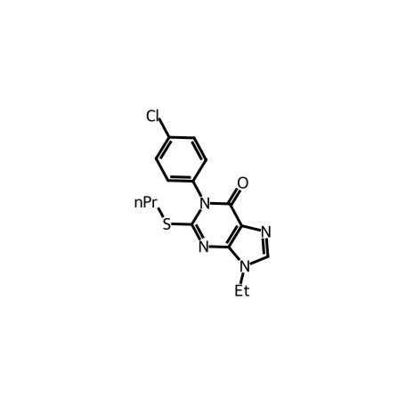 CCCSc1nc2c(ncn2CC)c(=O)n1-c1ccc(Cl)cc1